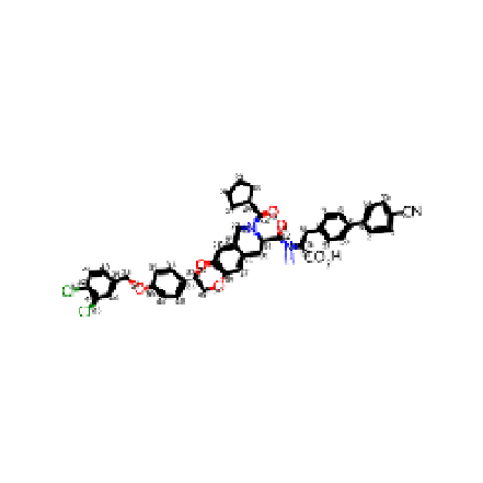 N#Cc1ccc(-c2ccc(C[C@H](NC(=O)C3Cc4cc5c(cc4CN3C(=O)C3CCCC3)O[C@@H](c3ccc(OCc4ccc(Cl)c(Cl)c4)cc3)CO5)C(=O)O)cc2)cc1